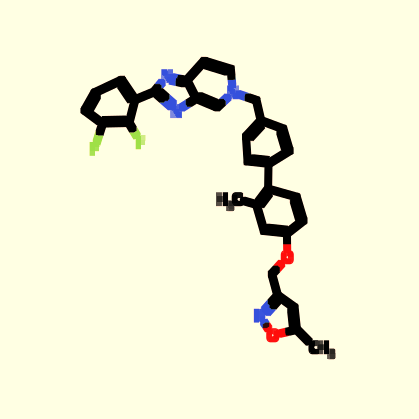 Cc1cc(COc2ccc(-c3ccc(Cn4ccc5nc(-c6cccc(F)c6F)nc-5c4)cc3)c(C)c2)no1